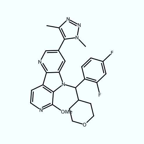 COc1nccc2c3ncc(-c4c(C)nnn4C)cc3n(C(c3ccc(F)cc3F)C3CCOCC3)c12